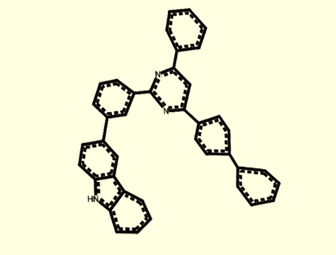 c1ccc(-c2ccc(-c3cc(-c4ccccc4)nc(-c4cccc(-c5ccc6[nH]c7ccccc7c6c5)c4)n3)cc2)cc1